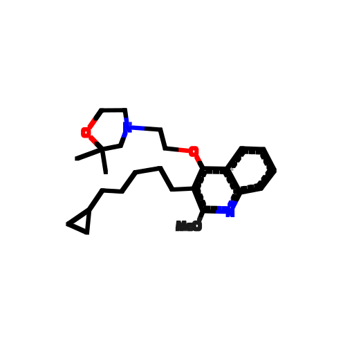 COc1nc2ccccc2c(OCCN2CCOC(C)(C)C2)c1CCCCCC1CC1